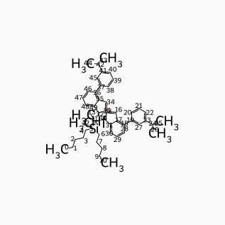 CCCCC[Si](CCCCC)=[Hf]([CH3])([CH3])([CH]1C=Cc2c(-c3cccc(C(C)C)c3)cccc21)[CH]1C=Cc2c(-c3cccc(C(C)C)c3)cccc21